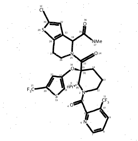 CCC[C@H]1N(C(=O)c2ncccc2C(F)(F)F)CCC[C@@]1(Oc1csc(C(F)(F)F)c1)C(=O)N1CCc2sc(Cl)cc2C1C(=O)NC